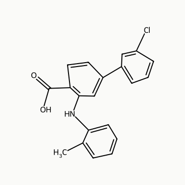 Cc1ccccc1Nc1cc(-c2cccc(Cl)c2)ccc1C(=O)O